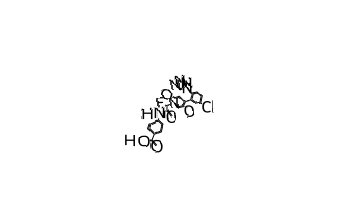 COc1cn(C(F)C(=O)Nc2ccc(C(=O)O)cc2)c(=O)cc1-c1cc(Cl)ccc1-n1cnnn1